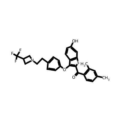 Cc1ccc(C(=O)c2sc3cc(O)ccc3c2Oc2ccc(CCN3CC(C(F)(F)F)C3)cc2)c(C)c1